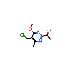 COc1nc(C(C)=O)nc(C)c1CCl